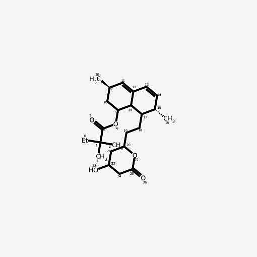 CCC(C)(C)C(=O)OC1C[C@@H](C)C=C2C=C[C@H](C)C(CCC3CC(O)CC(=O)O3)C21